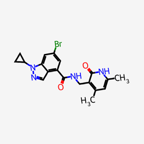 Cc1cc(C)c(CNC(=O)c2cc(Br)cc3c2cnn3C2CC2)c(=O)[nH]1